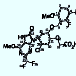 COc1ccc(F)c(F)c1COc1cc(-n2c(=O)[nH]c3c(OC)nc(C(F)F)nc32)c(Cl)cc1OCC(=O)O